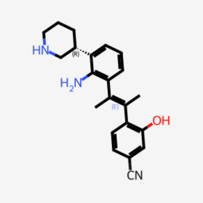 C/C(=C(/C)c1cccc([C@H]2CCCNC2)c1N)c1ccc(C#N)cc1O